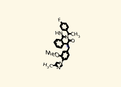 COc1cc(/C=C2/C(=O)N(C(C)c3ccc(F)cc3)C(=N)c3ccccc32)ccc1-n1cnc(C)c1